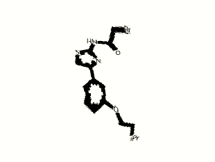 CC(C)CCOc1cccc(-c2csc(NC(=O)CBr)n2)c1